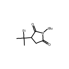 CCC(C)(C)C1CC(=O)N(C(C)(C)C)C1=O